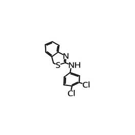 Clc1ccc(NC2=Nc3ccccc3CS2)cc1Cl